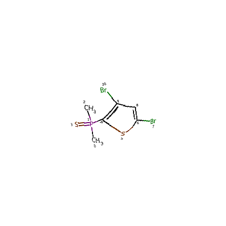 CP(C)(=S)c1sc(Br)cc1Br